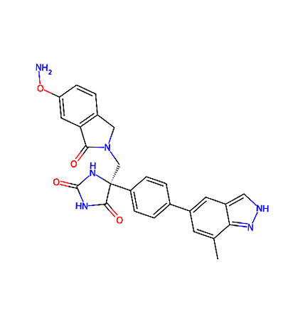 Cc1cc(-c2ccc([C@]3(CN4Cc5ccc(ON)cc5C4=O)NC(=O)NC3=O)cc2)cc2c[nH]nc12